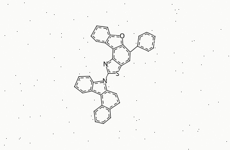 c1ccc(-c2cc3sc(-n4c5ccccc5c5c6ccccc6ccc54)nc3c3c2oc2ccccc23)cc1